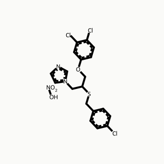 Clc1ccc(CSC(COc2ccc(Cl)c(Cl)c2)Cn2ccnc2)cc1.O=[N+]([O-])O